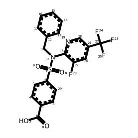 O=C(O)c1ccc(S(=O)(=O)N(Cc2ccccc2)c2ncc(C(F)(F)F)cc2F)cc1